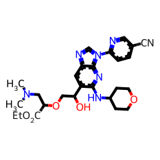 CCOC(=O)C(CN(C)C)OCC(O)c1cc2ncn(-c3ccc(C#N)cn3)c2nc1NC1CCOCC1